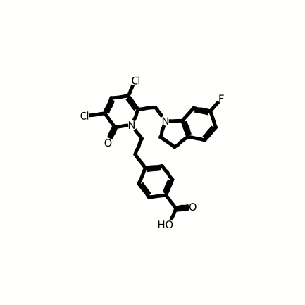 O=C(O)c1ccc(CCn2c(CN3CCc4ccc(F)cc43)c(Cl)cc(Cl)c2=O)cc1